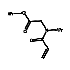 C=CC(=O)N(CC(=O)OCCC)C(C)C